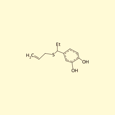 C=CCSC(CC)c1ccc(O)c(O)c1